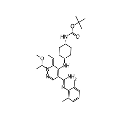 C/C=C1C(N[C@H]2CC[C@H](NC(=O)OC(C)(C)C)CC2)=C(/C(N)=N/c2c(C)cccc2C)C=NN/1C(C)OC